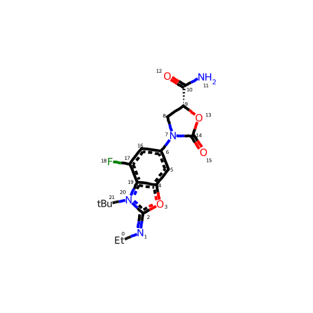 CCN=c1oc2cc(N3C[C@H](C(N)=O)OC3=O)cc(F)c2n1C(C)(C)C